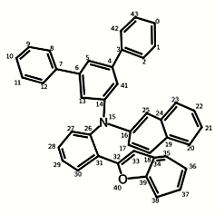 c1ccc(-c2cc(-c3ccccc3)cc(N(c3ccc4ccccc4c3)c3ccccc3-c3cc4ccccc4o3)c2)cc1